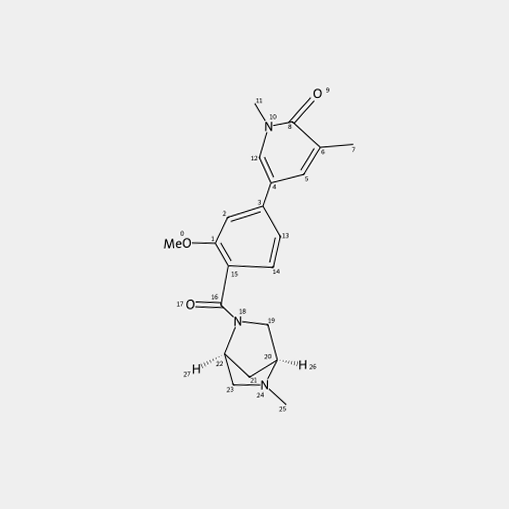 COc1cc(-c2cc(C)c(=O)n(C)c2)ccc1C(=O)N1C[C@@H]2C[C@H]1CN2C